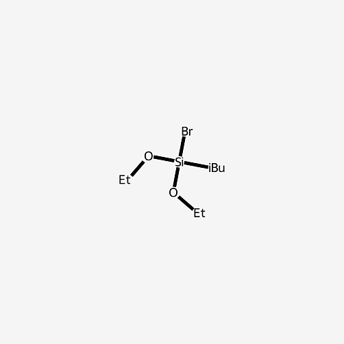 CCO[Si](Br)(OCC)C(C)CC